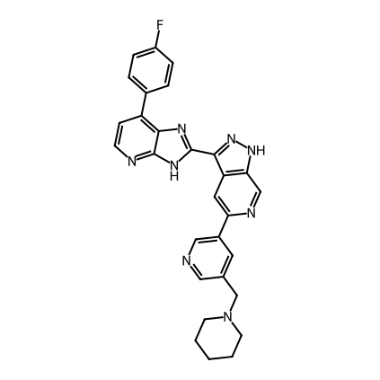 Fc1ccc(-c2ccnc3[nH]c(-c4n[nH]c5cnc(-c6cncc(CN7CCCCC7)c6)cc45)nc23)cc1